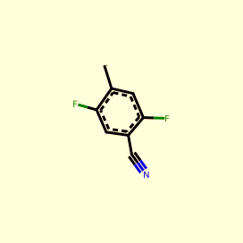 [CH2]c1cc(F)c(C#N)cc1F